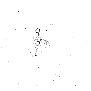 Cc1ccc(C(=O)CC(NC(=O)Cc2nnn[nH]2)(c2ccc(OCCCC(F)(F)F)cc2)C(F)(F)F)cc1